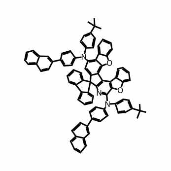 CC(C)(C)c1ccc(N(c2ccc(-c3ccc4ccccc4c3)cc2)c2nc3c(c4c2oc2ccccc24)-c2c(cc(N(c4ccc(-c5ccc6ccccc6c5)cc4)c4ccc(C(C)(C)C)cc4)c4c2oc2ccccc24)C32c3ccccc3-c3ccccc32)cc1